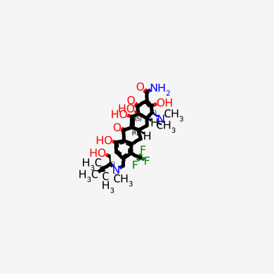 CN(C)[C@@H]1C(O)=C(C(N)=O)C(=O)[C@@]2(O)C(O)=C3C(=O)c4c(O)cc(CN(C)[C@H](CO)C(C)(C)C)c(C(F)(F)F)c4C[C@H]3C[C@@H]12